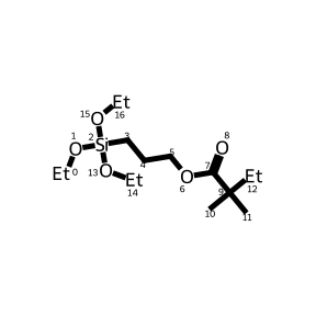 CCO[Si](CCCOC(=O)C(C)(C)CC)(OCC)OCC